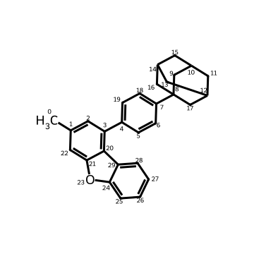 Cc1cc(-c2ccc(C34CC5CC(CC(C5)C3)C4)cc2)c2c(c1)oc1ccccc12